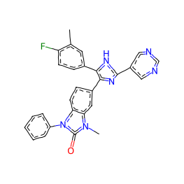 Cc1cc(-c2[nH]c(-c3cncnc3)nc2-c2ccc3c(c2)n(C)c(=O)n3-c2ccccc2)ccc1F